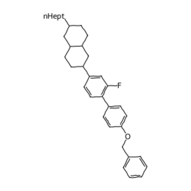 CCCCCCCC1CCC2CC(c3ccc(-c4ccc(OCc5ccccc5)cc4)c(F)c3)CCC2C1